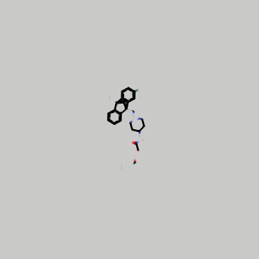 CCOCC(=O)NC1CCN(C[C@]23C[C@H](c4ccccc42)c2ccc(Cl)cc23)CC1